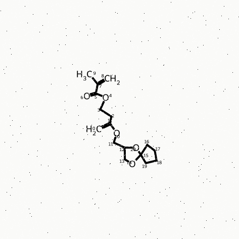 C=C(CCOC(=O)C(=C)C)OCC1COC2(CCCC2)O1